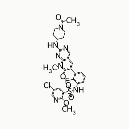 COc1ncc(Cl)cc1S(=O)(=O)Nc1cccc(-c2cc3cnc(NC4CCN(C(C)=O)CC4)nc3n(C)c2=O)c1F